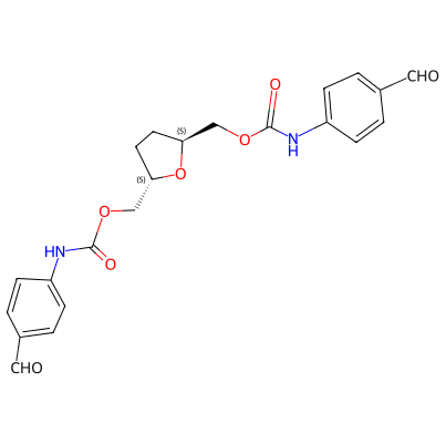 O=Cc1ccc(NC(=O)OC[C@@H]2CC[C@@H](COC(=O)Nc3ccc(C=O)cc3)O2)cc1